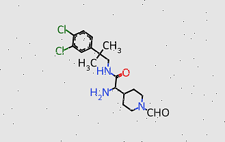 CC(C)(CNC(=O)C(N)C1CCN(C=O)CC1)c1ccc(Cl)c(Cl)c1